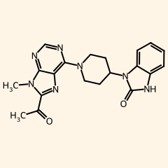 CC(=O)c1nc2c(N3CCC(n4c(=O)[nH]c5ccccc54)CC3)ncnc2n1C